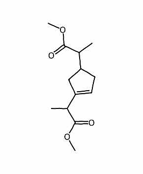 COC(=O)C(C)C1=CCC(C(C)C(=O)OC)C1